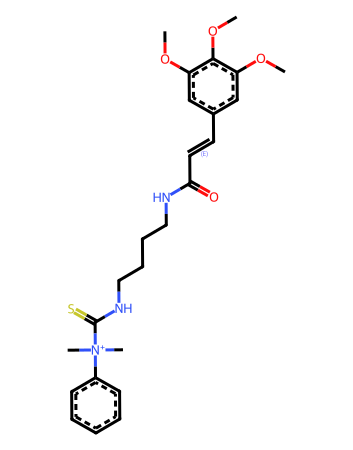 COc1cc(/C=C/C(=O)NCCCCNC(=S)[N+](C)(C)c2ccccc2)cc(OC)c1OC